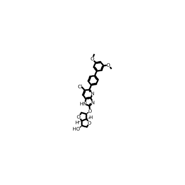 COc1cc(OC)cc(-c2ccc(-c3nc4nc(O[C@@H]5CO[C@H]6[C@@H]5OC[C@H]6O)[nH]c4cc3Cl)cc2)c1